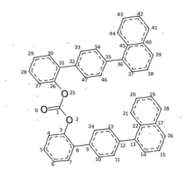 O=C(Oc1ccccc1-c1ccc(-c2cccc3ccccc23)cc1)Oc1ccccc1-c1ccc(-c2cccc3ccccc23)cc1